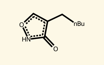 CCCCCc1co[nH]c1=O